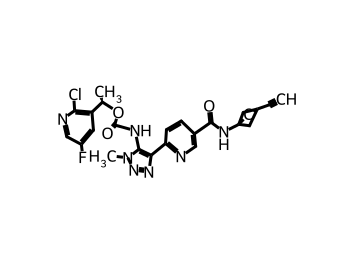 C#CC12CC(NC(=O)c3ccc(-c4nnn(C)c4NC(=O)O[C@H](C)c4cc(F)cnc4Cl)nc3)(C1)C2